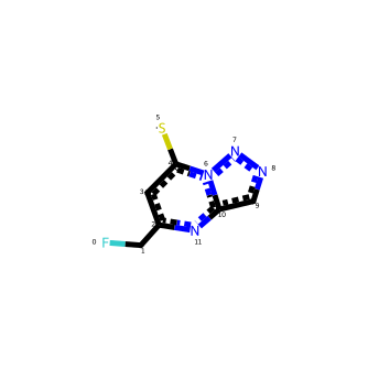 FCc1cc([S])n2nncc2n1